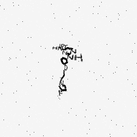 CC(C)Nc1ccnc(Nc2cccc(OCCCN3CCC(F)C3)c2)n1